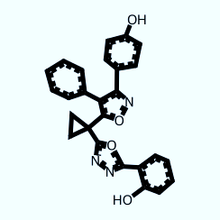 Oc1ccc(-c2noc(C3(c4nnc(-c5ccccc5O)o4)CC3)c2-c2ccccc2)cc1